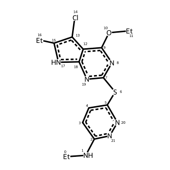 CCNc1ccc(Sc2nc(OCC)c3c(Cl)c(CC)[nH]c3n2)nn1